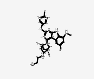 CNc1cc(F)cc2c1[nH]c1nc(Oc3cnc(C)nc3)nc(N3C[C@H]4C[C@@H]3C[C@H]4NCCO)c12